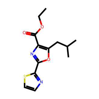 CCOC(=O)c1nc(-c2nccs2)oc1CC(C)C